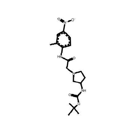 Cc1cc([N+](=O)[O-])ccc1NC(=O)CN1CCC(NC(=O)OC(C)(C)C)C1